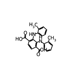 Cc1ccccc1Nc1c(C(=O)O)ccc(C(=O)O)c1Nc1ccccc1C